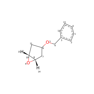 c1ccc(COC2C[C@@H]3O[C@@H]3C2)cc1